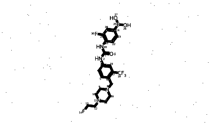 O=C(Nc1ccc(CN2CCN(CCF)CC2)c(C(F)(F)F)c1)Nc1ccc(B(O)O)cc1F